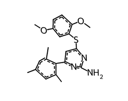 COc1ccc(OC)c(Sc2cc(-c3c(C)cc(C)cc3C)nc(N)n2)c1